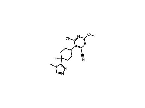 COc1cc(C#N)c(N2CCC(F)(c3nncn3C)CC2)c(Cl)n1